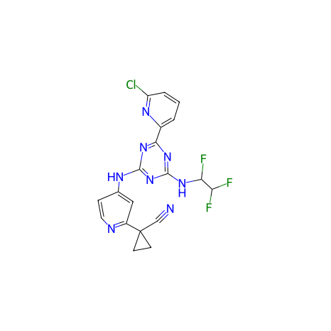 N#CC1(c2cc(Nc3nc(NC(F)C(F)F)nc(-c4cccc(Cl)n4)n3)ccn2)CC1